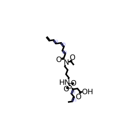 C=C/C=C/C=C\C=C\C(=O)N(CCCCNS(=O)(=O)/C(=C/C=C\C)CC(=O)O)C(C)=O